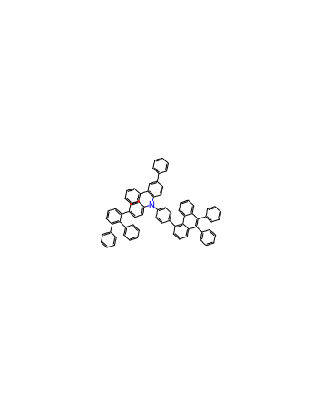 c1ccc(-c2ccc(N(c3ccc(-c4cccc(-c5ccccc5)c4-c4ccccc4)cc3)c3ccc(-c4cccc5c(-c6ccccc6)c(-c6ccccc6)c6ccccc6c45)cc3)c(-c3ccccc3)c2)cc1